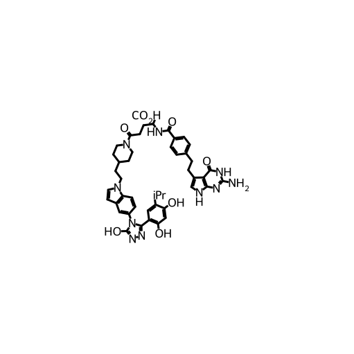 CC(C)c1cc(-c2nnc(O)n2-c2ccc3c(ccn3CCC3CCN(C(=O)CCC(NC(=O)c4ccc(CCc5c[nH]c6nc(N)[nH]c(=O)c56)cc4)C(=O)O)CC3)c2)c(O)cc1O